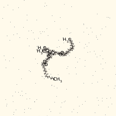 CCCCC/C=C\CCCCCCC/C=C\C(=O)OCCCc1ccc(N(c2ccc(CCCOC(=O)/C=C\CCCCCCC/C=C\CCCCC)cc2)c2ccc(C)c(C)c2)cc1